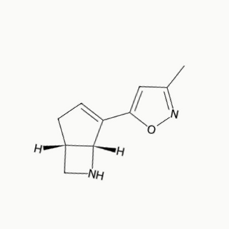 Cc1cc(C2=CC[C@H]3CN[C@@H]23)on1